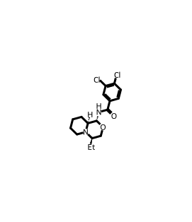 CC[C@@H]1CO[C@@H](NC(=O)c2ccc(Cl)c(Cl)c2)[C@@H]2CCCCN12